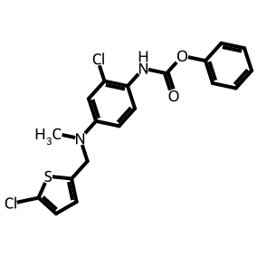 CN(Cc1ccc(Cl)s1)c1ccc(NC(=O)Oc2ccccc2)c(Cl)c1